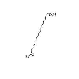 CCC1OC1CCCCCCCCCC=CC=CC=CC=CC(=O)O